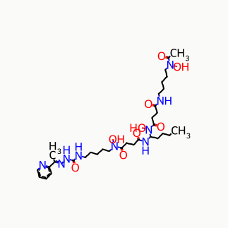 CCCCC(NC(=O)CCC(=O)N(O)CCCCCNC(=O)N/N=C(\C)c1ccccn1)N(O)C(=O)CCC(=O)NCCCCCN(O)C(C)=O